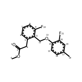 COC(=O)Cc1cccc(F)c1COc1ccc(C)cc1F